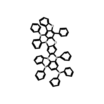 c1ccc(-c2c3c4c(c5c2oc2ccccc25)N(c2ccccc2)c2ccccc2B4c2cc4c(cc2O3)N(c2ccccc2)c2cc(N(c3ccccc3)c3ccccc3)cc3c2B4c2ccccc2N3c2ccccc2)cc1